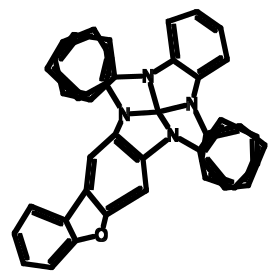 c1ccc(N2c3ccccc3N(c3ccccc3)C23N(c2ccccc2)c2cc4oc5ccccc5c4cc2N3c2ccccc2)cc1